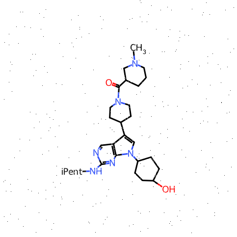 CCCC(C)Nc1ncc2c(C3CCN(C(=O)C4CCCN(C)C4)CC3)cn(C3CCC(O)CC3)c2n1